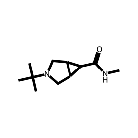 CNC(=O)C1C2CN(C(C)(C)C)CC21